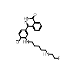 O=c1[nH]nc(-c2ccc(Cl)c(NCCCCCNCCF)c2)c2ccccc12